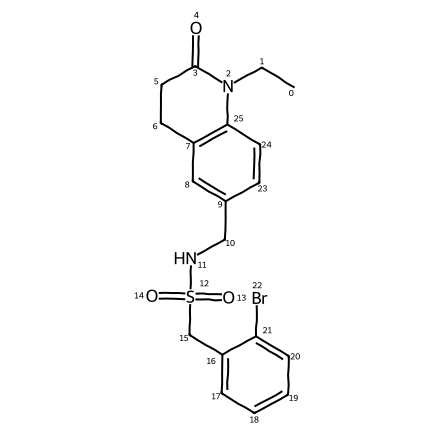 CCN1C(=O)CCc2cc(CNS(=O)(=O)Cc3ccccc3Br)ccc21